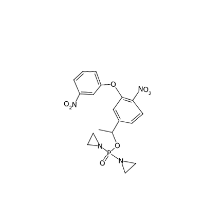 CC(OP(=O)(N1CC1)N1CC1)c1ccc([N+](=O)[O-])c(Oc2cccc([N+](=O)[O-])c2)c1